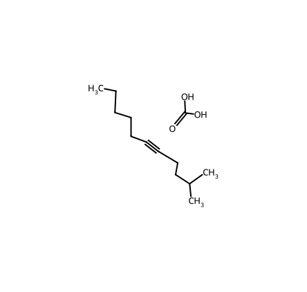 CCCCCC#CCCC(C)C.O=C(O)O